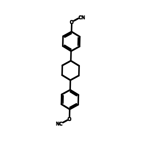 N#COc1ccc(C2CCC(c3ccc(OC#N)cc3)CC2)cc1